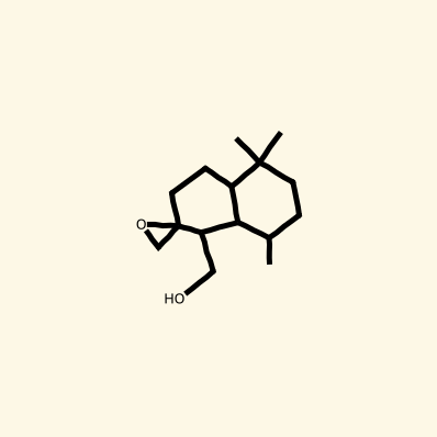 CC1CCC(C)(C)C2CCC3(CO3)C(CO)C12